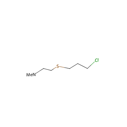 CNCCSCCCCl